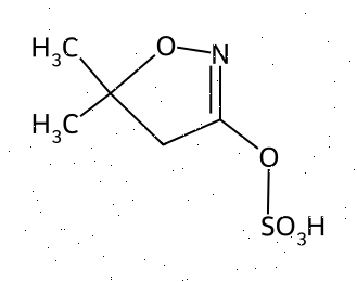 CC1(C)CC(OS(=O)(=O)O)=NO1